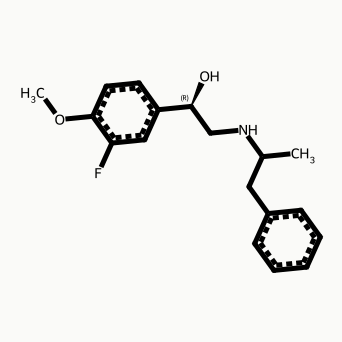 COc1ccc([C@@H](O)CNC(C)Cc2ccccc2)cc1F